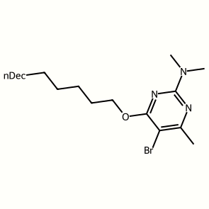 CCCCCCCCCCCCCCCOc1nc(N(C)C)nc(C)c1Br